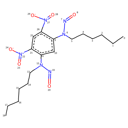 CCCCCCN(N=O)c1cc(N(CCCCCC)N=O)c([N+](=O)[O-])cc1[N+](=O)[O-]